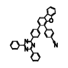 N#Cc1ccc(-c2c(-c3ccc(-c4nc(-c5ccccc5)nc(-c5ccccc5)n4)cc3)ccc3c2oc2ccccc23)cc1